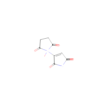 O=C1C=C([N+]2(O)C(=O)CCC2=O)C(=O)N1